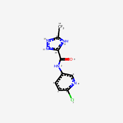 O=C(Nc1ccc(Cl)nc1)c1nnc(C(F)(F)F)[nH]1